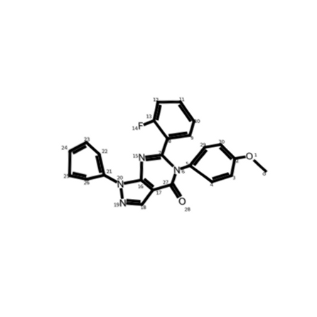 COc1ccc(-n2c(-c3ccccc3F)nc3c(cnn3-c3ccccc3)c2=O)cc1